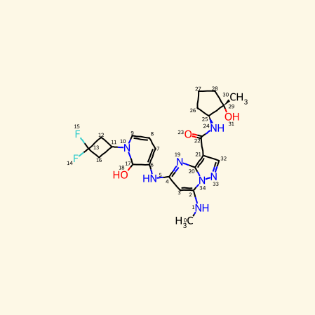 CNc1cc(NC2=CC=CN(C3CC(F)(F)C3)C2O)nc2c(C(=O)N[C@H]3CCC[C@]3(C)O)cnn12